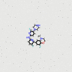 CC(C)N1CCOc2c(F)cc(-c3nc(Nc4ccc(N5CCNCC5)c(F)n4)ccc3F)cc21